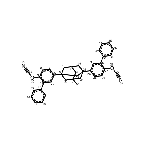 CC12CC3CC(c4ccc(OC#N)c(-c5ccccc5)c4)(C1)CC(c1ccc(OC#N)c(-c4ccccc4)c1)(C3)C2